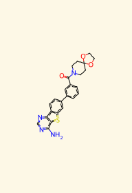 Nc1ncnc2c1sc1cc(-c3cccc(C(=O)N4CCC5(CC4)OCCO5)c3)ccc12